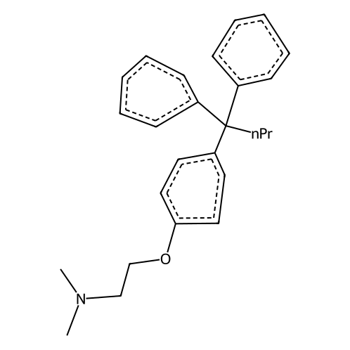 CCCC(c1ccccc1)(c1ccccc1)c1ccc(OCCN(C)C)cc1